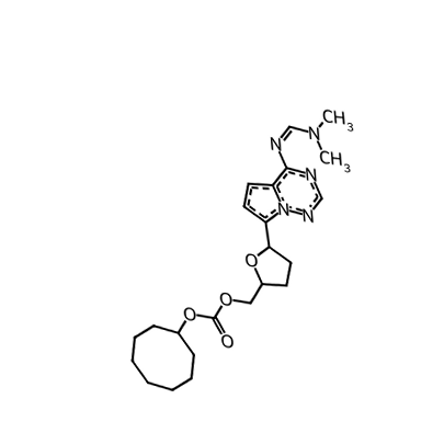 CN(C)/C=N\c1ncnn2c(C3CCC(COC(=O)OC4CCCCCCC4)O3)ccc12